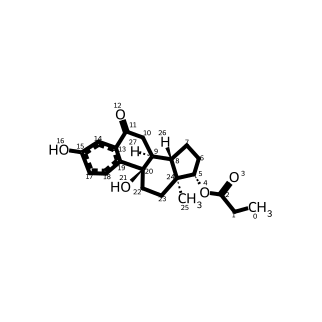 CCC(=O)O[C@H]1CC[C@H]2[C@@H]3CC(=O)c4cc(O)ccc4[C@@]3(O)CC[C@]12C